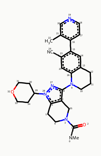 CNC(=O)N1CCc2c(c(N3CCCc4cc(-c5ccncc5C)c(C#N)cc43)nn2C2CCOCC2)C1